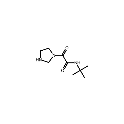 CC(C)(C)NC(=O)C(=O)N1CCNC1